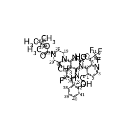 Cc1ccnc(C(C)C(F)(F)F)c1-n1c(=O)nc(N2CCN(C(=O)OC(C)(C)C)C[C@@H]2C)c2cc(F)c(-c3ccccc3O)nc21